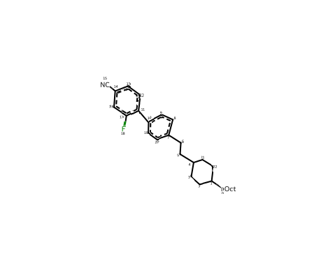 CCCCCCCCC1CCC(CCc2ccc(-c3ccc(C#N)cc3F)cc2)CC1